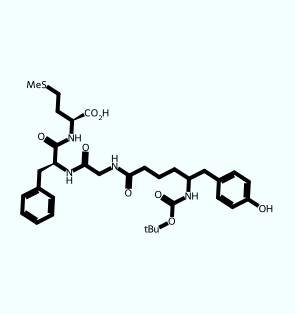 CSCC[C@H](NC(=O)[C@H](Cc1ccccc1)NC(=O)CNC(=O)CCCC(Cc1ccc(O)cc1)NC(=O)OC(C)(C)C)C(=O)O